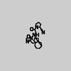 N#C[C@@H]1CCCN1C(=O)CNC12CC3CC1CCCC3(Cc1ncon1)C2